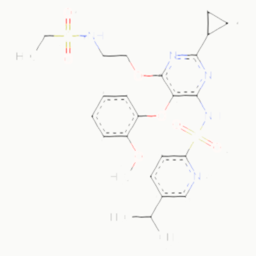 CCS(=O)(=O)NCCOc1nc(C2CC2)nc(NS(=O)(=O)c2ccc(C(C)C)cn2)c1Oc1ccccc1OC